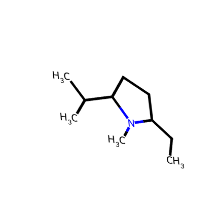 CCC1CCC(C(C)C)N1C